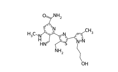 CNc1cc(C(N)=O)nc(-c2nc(-c3cc(C)nn3CCCO)sc2CN)c1C=N